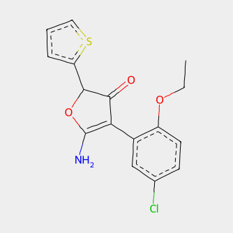 CCOc1ccc(Cl)cc1C1=C(N)OC(c2cccs2)C1=O